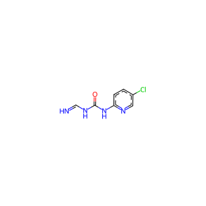 N=CNC(=O)Nc1ccc(Cl)cn1